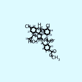 COC(=O)c1ccc(CN[C@H]2[C@@H](CO)N(CC3CC3)[C@]3(C(=O)Nc4cc(Cl)ccc43)[C@@H]2c2cccc(Cl)c2F)c([N+](=O)[O-])c1